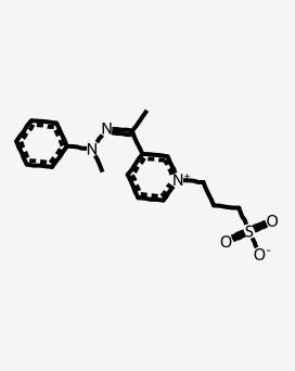 C/C(=N/N(C)c1ccccc1)c1ccc[n+](CCCS(=O)(=O)[O-])c1